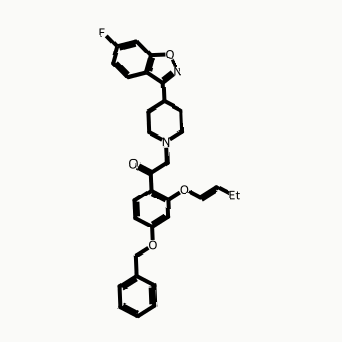 CCC=COc1cc(OCc2ccccc2)ccc1C(=O)CN1CCC(c2noc3cc(F)ccc23)CC1